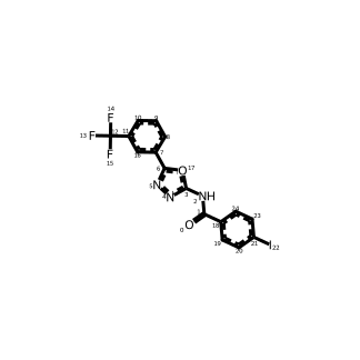 O=C(Nc1nnc(-c2cccc(C(F)(F)F)c2)o1)c1ccc(I)cc1